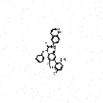 COc1nn(C(Cc2ccccc2)C(=O)Nc2ccc3c(=O)[nH]ccc3c2)c(=O)cc1-c1cc(Cl)ccc1C